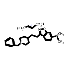 CN(C)c1ccc2c(CCC3CCN(Cc4ccccc4)CC3)noc2c1.O=C(O)/C=C/C(=O)O